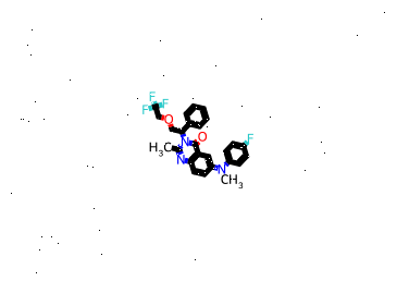 Cc1nc2ccc(N(C)c3ccc(F)cc3)cc2c(=O)n1C(COCC(F)(F)F)c1ccccc1